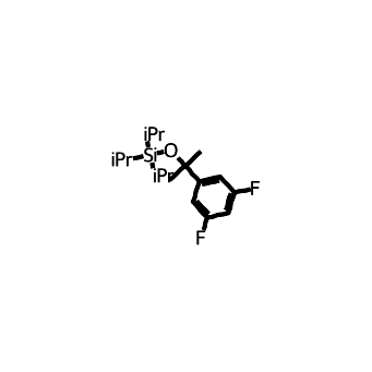 CC(C)[Si](OC(C)(C)c1cc(F)cc(F)c1)(C(C)C)C(C)C